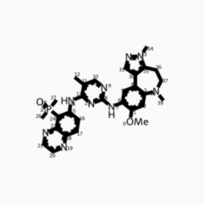 COc1cc2c(cc1Nc1ncc(C)c(Nc3ccc4nccnc4c3P(C)(C)=O)n1)-c1cnn(C)c1CCN2C